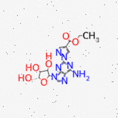 CCOC(=O)c1cnn(-c2nc(N)c3ncn(C4O[C@H](CO)[C@@H](O)C4O)c3n2)c1